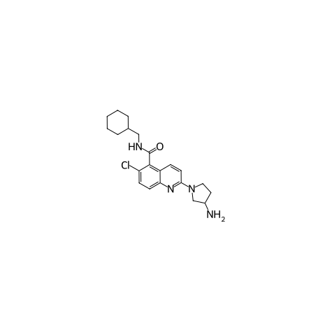 NC1CCN(c2ccc3c(C(=O)NCC4CCCCC4)c(Cl)ccc3n2)C1